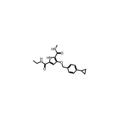 CCNC(=O)c1cc(OCc2ccc(C3CC3)cc2)c(C(=O)NC)[nH]1